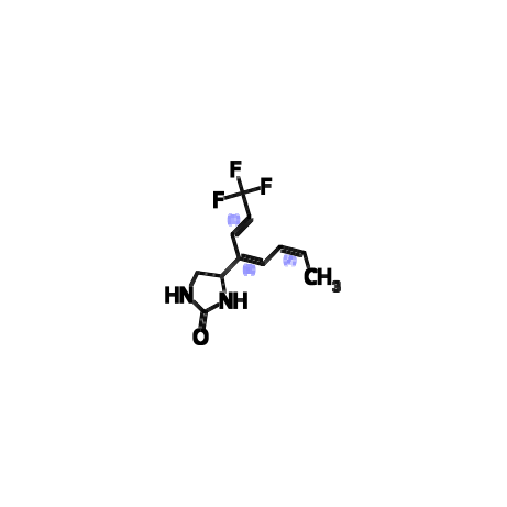 C\C=C/C=C(\C=C\C(F)(F)F)C1CNC(=O)N1